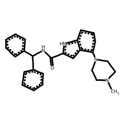 CN1CCN(c2cccc3[nH]c(C(=O)NC(c4ccccc4)c4ccccc4)cc23)CC1